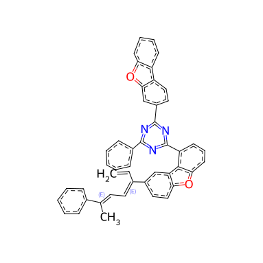 C=C/C(=C\C=C(/C)c1ccccc1)c1ccc2oc3cccc(-c4nc(-c5ccccc5)nc(-c5ccc6c(c5)oc5ccccc56)n4)c3c2c1